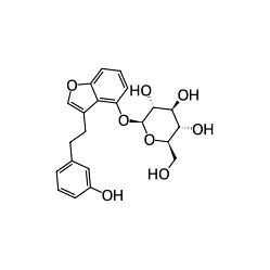 OC[C@H]1O[C@@H](Oc2cccc3occ(CCc4cccc(O)c4)c23)[C@H](O)[C@@H](O)[C@@H]1O